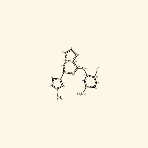 Cn1cc(-c2cn3nccc3c(Oc3cc(N)ccc3F)n2)cn1